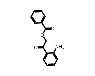 Nc1ccccc1C(=O)COC(=O)c1ccccc1